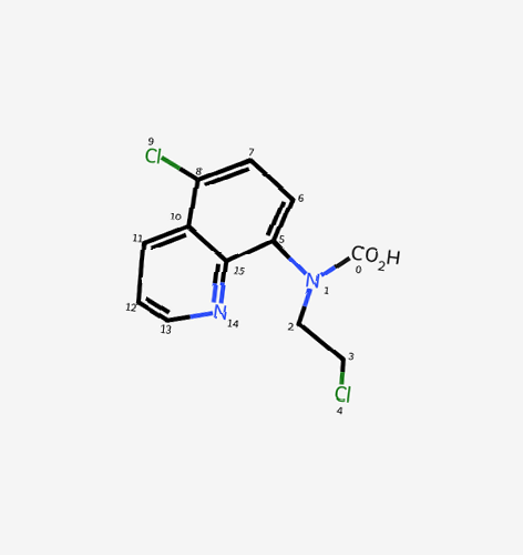 O=C(O)N(CCCl)c1ccc(Cl)c2cccnc12